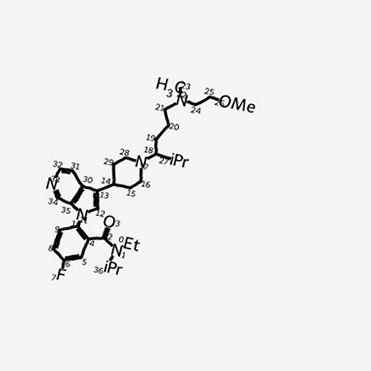 CCN(C(=O)c1cc(F)ccc1-n1cc(C2CCN(C(CCCN(C)CCOC)C(C)C)CC2)c2ccncc21)C(C)C